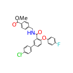 COC(=O)c1ccc(CNC(=O)c2cc(-c3ccc(Cl)cc3)ccc2Oc2ccc(F)cc2)cc1